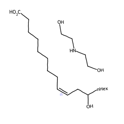 CCCCCCC(O)C/C=C\CCCCCCCC(=O)O.OCCNCCO